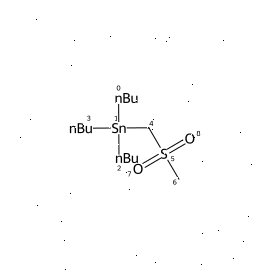 CCC[CH2][Sn]([CH2]CCC)([CH2]CCC)[CH2]S(C)(=O)=O